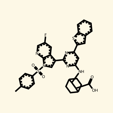 Cc1ccc(S(=O)(=O)n2cc(-c3nc(NC4C5CCC(CC5)C4C(=O)O)cc(-c4cc5ccccc5s4)n3)c3cc(F)cnc32)cc1